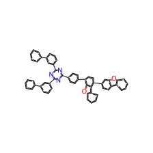 c1ccc(-c2cccc(-c3nc(-c4ccc(-c5ccc(-c6ccc7c(c6)oc6ccccc67)c6c5oc5ccccc56)cc4)nc(-c4cccc(-c5ccccc5)c4)n3)c2)cc1